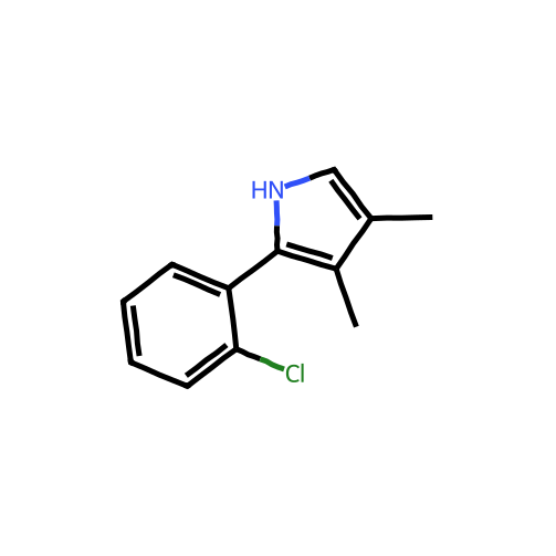 Cc1c[nH]c(-c2ccccc2Cl)c1C